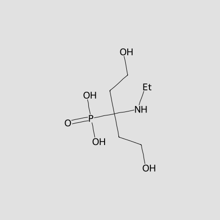 CCNC(CCO)(CCO)P(=O)(O)O